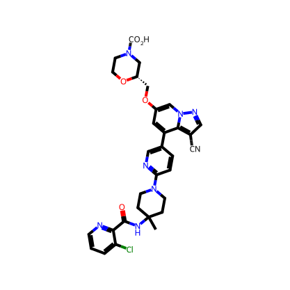 CC1(NC(=O)c2ncccc2Cl)CCN(c2ccc(-c3cc(OC[C@H]4CN(C(=O)O)CCO4)cn4ncc(C#N)c34)cn2)CC1